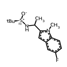 CC(N[S@+]([O-])C(C)(C)C)c1cc2cc(F)ccc2n1C